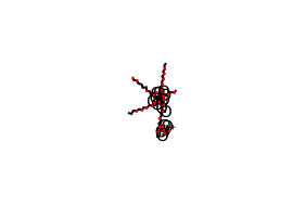 CCCCCCCCCCC(=O)O[C@@H]1[C@@H](OC(=O)CCCCCCCCCC)[C@H](OCCCC)O[C@H](COC(=O)CCCCCC(CCCC)C(=O)[N+]2([O-])C(=O)CCC2=O)[C@H]1OC(=O)CCCCCCCCCC